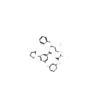 C[C@H](NC[C@H](O)[C@H](Cc1ccccc1)NC(=O)c1cc(N2CCCC2=O)cc([N+](=O)[O-])c1)C(=O)NC1CCCCC1